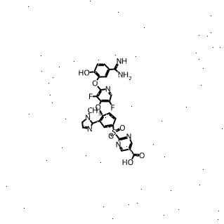 CN1CC=NC1c1cc(S(=O)(=O)c2ncc(C(=O)O)cn2)ccc1Oc1c(F)cnc(Oc2cc(C(=N)N)ccc2O)c1F